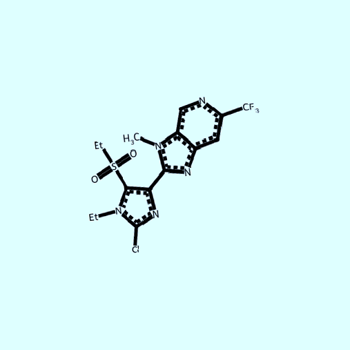 CCn1c(Cl)nc(-c2nc3cc(C(F)(F)F)ncc3n2C)c1S(=O)(=O)CC